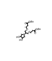 CC(C)COC(=O)CCOCC(COCCC(=O)OCC(C)C)N1C[C@@H](O)[C@@H](O)C1